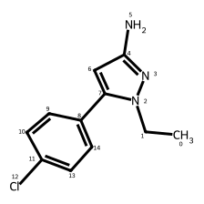 CCn1nc(N)cc1-c1ccc(Cl)cc1